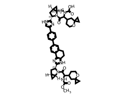 COC(=O)NC(C(=O)N1[C@@H]2C[C@H]2C[C@H]1c1nc2c([nH]1)CCc1cc(-c3ccc(-c4c[nH]c([C@@H]5C[C@H]6C[C@H]6N5C(=O)C(C5CCOC6(CC6)C5)N(C)C(=O)O)n4)cc3)ccc1-2)C1CCOC2(CC2)C1